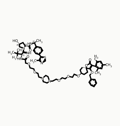 Cc1cc(C)c(C2=C(OCc3ccccc3)[C@]3(CC[C@H](OCCOCCOCCN4CCN(CCOCCOCC(=O)N[C@H](C(=N)N5C[C@H](O)C[C@H]5C(=O)N[C@@H](C)c5ccc(-c6scnc6C)cc5)C(C)(C)C)CC4)CC3)OC2=O)c(C)c1